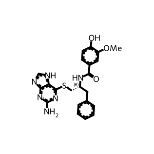 COc1cc(C(=O)N[C@@H](CSc2nc(N)nc3nc[nH]c23)Cc2ccccc2)ccc1O